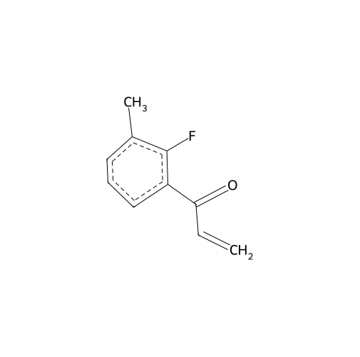 C=CC(=O)c1cccc(C)c1F